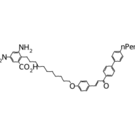 CCCCCc1ccc(-c2ccc(C(=O)/C=C/c3ccc(OCCCCCCCCCCCc4c(N)cc(N)cc4C(=O)O)cc3)cc2)cc1